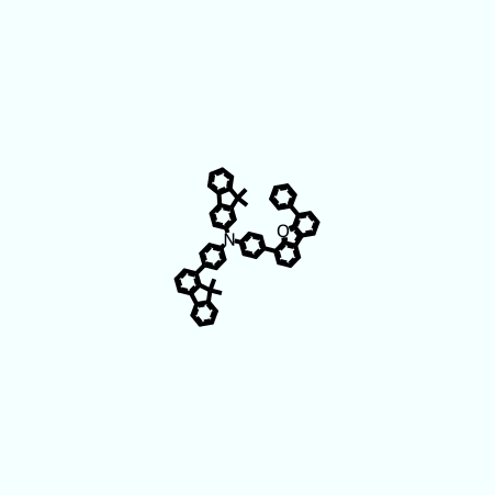 CC1(C)c2ccccc2-c2ccc(N(c3ccc(-c4cccc5c4C(C)(C)c4ccccc4-5)cc3)c3ccc(-c4cccc5c4oc4c(-c6ccccc6)cccc45)cc3)cc21